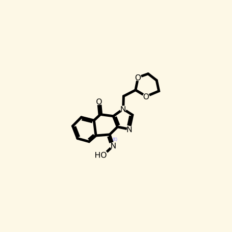 O=C1c2ccccc2/C(=N\O)c2ncn(CC3OCCCO3)c21